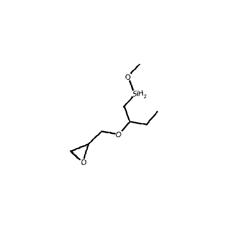 CCC(C[SiH2]OC)OCC1CO1